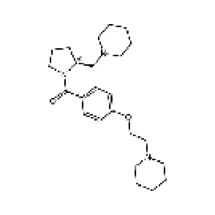 O=C(c1ccc(OCCN2CCCCC2)cc1)N1CCC[C@H]1CN1CCCCC1